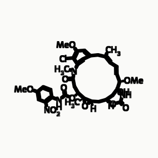 COc1ccc(NC(=O)O[C@H]2CC(=O)N(C)c3cc(cc(OC)c3Cl)C/C(C)=C/C=C/[C@@H](OC)[C@@]3(O)C[C@@H](C[C@@H]4O[C@@]24C)OC(=O)N3)c([N+](=O)[O-])c1